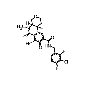 CN1C(=O)c2c(O)c(=O)c(C(=O)NCc3ccc(F)c(Cl)c3F)cn2[C@H]2CCOC[C@H]21